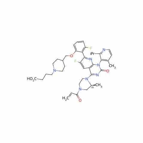 C=CC(=O)N1CCN(c2nc(=O)n(-c3c(C)ccnc3C(C)C)c3nc(-c4c(F)cccc4OCC4CCN(CCCC(=O)O)CC4)c(F)cc23)[C@@H](C)C1